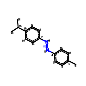 Cc1ccc(/N=N/c2ccc(C(C)C)cc2)cc1